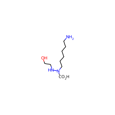 NCCCCCCN(NCCO)C(=O)O